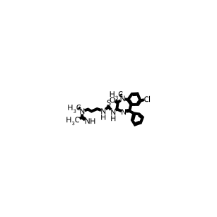 CC(=N)N(C)CCCNC(=S)NC1N=C(c2ccccc2)c2cc(Cl)ccc2N(C)C1=O